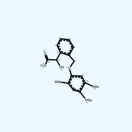 CNc1cc(NC)c(OCc2ccccc2C(O)C(N)=O)cc1NC